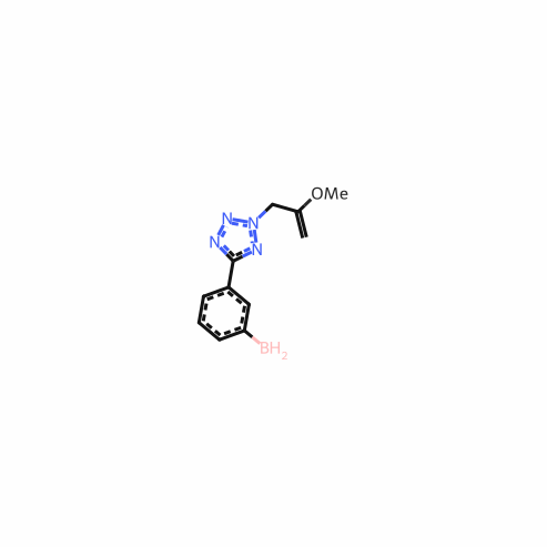 Bc1cccc(-c2nnn(CC(=C)OC)n2)c1